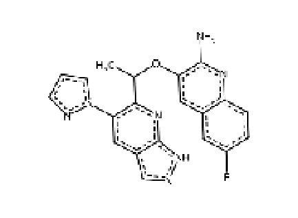 CC(Oc1cc2cc(F)ccc2nc1N)c1nc2[nH]ncc2cc1-n1cccn1